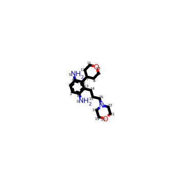 Nc1ccc(N)c(C2CCOCC2)c1CCCN1CCOCC1